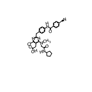 CN(CC(=O)NC1CCCC1)c1nc(Cc2ccc(NC(=O)c3ccc(C#N)cc3)cc2)nc(Cl)c1CC(=O)O